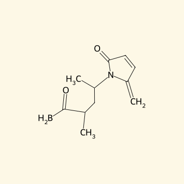 BC(=O)C(C)CC(C)N1C(=C)C=CC1=O